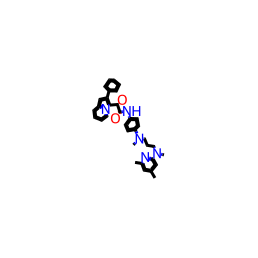 Cc1cc(C)nc(N(C)CCCN(C)c2ccc(NC(=O)C(=O)c3c(-c4ccccc4)cc4ccccn34)cc2)c1